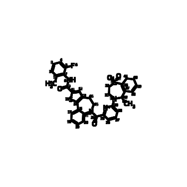 Cc1cccc(F)c1NC(=O)c1cc2c(s1)-c1ccccc1N(C(=O)c1cccc(N3CCS(=O)(=O)C4=C(C=CCC4)[C@H]3C)n1)CC2